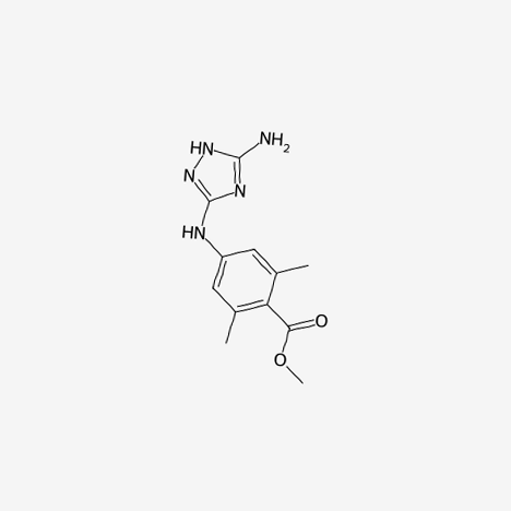 COC(=O)c1c(C)cc(Nc2n[nH]c(N)n2)cc1C